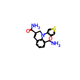 NC(=O)C1=Cc2cccc(C(N)=O)c2N(c2ccsc2)C1